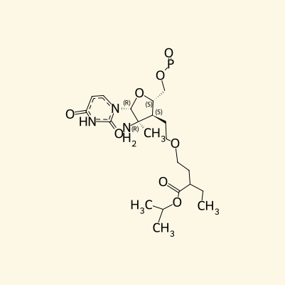 CCC(CCOCC[C@@H]1[C@@H](COP=O)O[C@@H](n2ccc(=O)[nH]c2=O)[C@]1(C)N)C(=O)OC(C)C